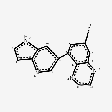 Clc1cc(-c2cnc3cc[nH]c3c2)c2nccnc2c1